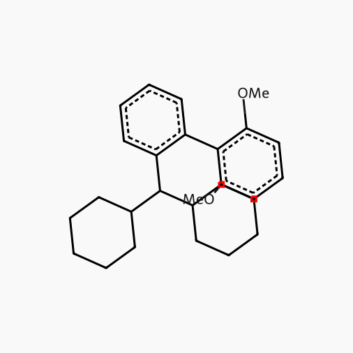 COc1cccc(OC)c1-c1ccccc1C(C1CCCCC1)C1CCCCC1